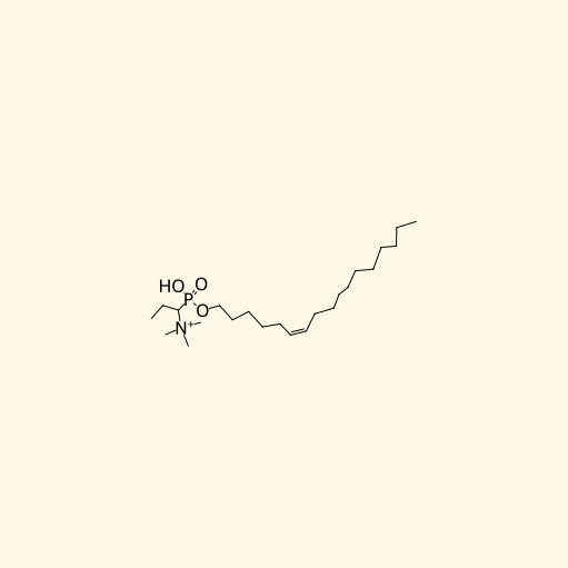 CCCCCCCCCC/C=C\CCCCCOP(=O)(O)C(CC)[N+](C)(C)C